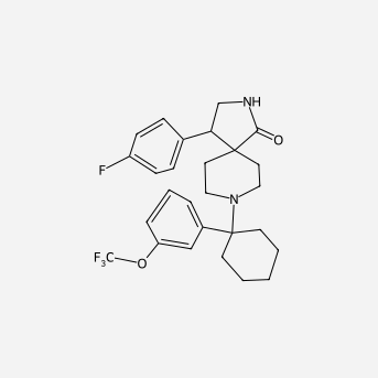 O=C1NCC(c2ccc(F)cc2)C12CCN(C1(c3cccc(OC(F)(F)F)c3)CCCCC1)CC2